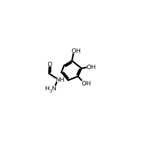 NNC=O.Oc1cccc(O)c1O